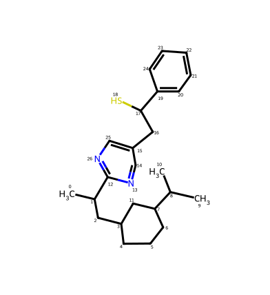 CC(CC1CCCC(C(C)C)C1)c1ncc(CC(S)c2ccccc2)cn1